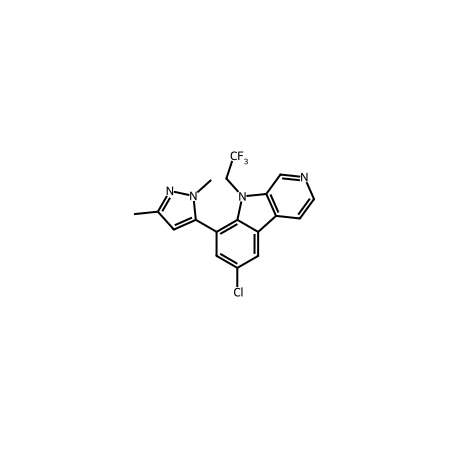 Cc1cc(-c2cc(Cl)cc3c4ccncc4n(CC(F)(F)F)c23)n(C)n1